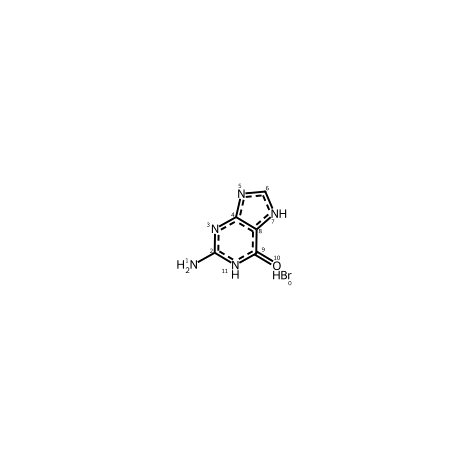 Br.Nc1nc2nc[nH]c2c(=O)[nH]1